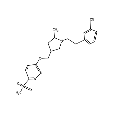 CC1CC(COc2ccc(S(C)(=O)=O)nn2)CN1CCc1cccc(C#N)c1